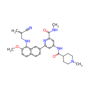 C=C(C#N)CNc1c(OC)ccc2ccc(-c3cc(NC(=O)C4CCN(C)CC4)cc(C(=O)NC)n3)cc12